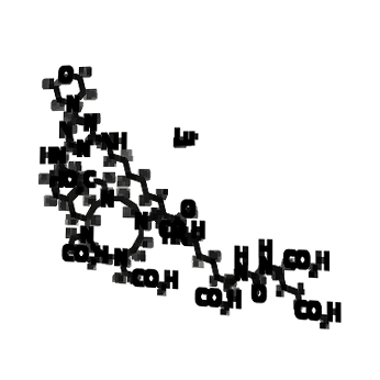 O=C(O)CC[C@H](NC(=O)N[C@@H](CCCCNC(=O)CCCCCCCNc1nc(Nc2ccc(CC3CN(CC(=O)O)CCN(CC(=O)O)CCN(CC(=O)O)CCN3CC(=O)O)cc2)nc(N2CCOCC2)n1)C(=O)O)C(=O)O.[Lu]